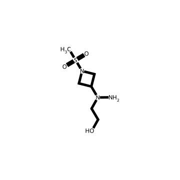 CS(=O)(=O)N1CC(N(N)CCO)C1